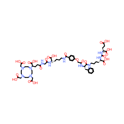 O=C(O)CC[C@H](NC(=O)N[C@@H](CCCCNC(=O)[C@H](Cc1ccccc1)NC(=O)COc1ccc(C(=O)NCCCC[C@H](NC(=O)CNC(=O)CCC(C(=O)O)N2CCN(CC(=O)O)CCN(CC(=O)O)CCN(CC(=O)O)CC2)C(=O)O)cc1)C(=O)O)C(=O)O